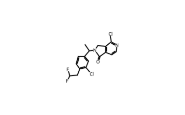 CC(c1ccc(CC(F)F)c(Cl)c1)N1Cc2c(ccnc2Cl)C1=O